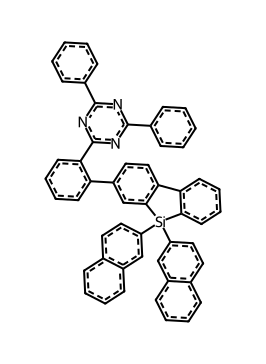 c1ccc(-c2nc(-c3ccccc3)nc(-c3ccccc3-c3ccc4c(c3)[Si](c3ccc5ccccc5c3)(c3ccc5ccccc5c3)c3ccccc3-4)n2)cc1